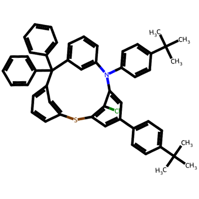 CC(C)(C)c1ccc(-c2cc3c(Cl)c(c2)N(c2ccc(C(C)(C)C)cc2)c2cccc(c2)C(c2ccccc2)(c2ccccc2)c2cccc(c2)S3)cc1